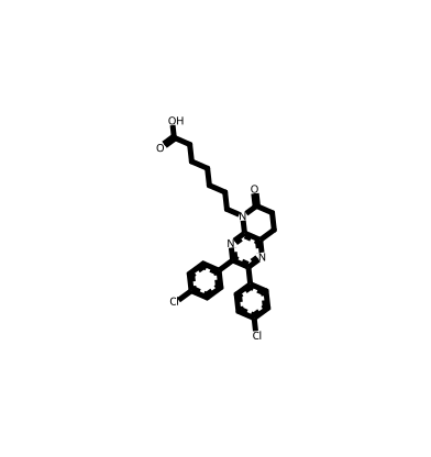 O=C(O)CCCCCCN1C(=O)CCc2nc(-c3ccc(Cl)cc3)c(-c3ccc(Cl)cc3)nc21